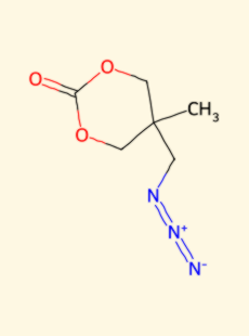 CC1(CN=[N+]=[N-])COC(=O)OC1